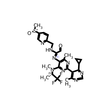 Cc1nc(-c2c(C)ncnc2C2CC2)nc(N(C)[C@@H](C)C(F)(F)F)c1/N=C(\C=O)NCc1ccc([S+](C)[O-])cn1